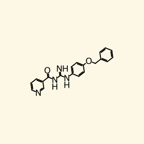 N=C(NC(=O)c1cccnc1)Nc1ccc(OCc2ccccc2)cc1